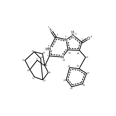 O=c1[nH]n2c(=S)[nH]c(C34CC5CC(CC(C5)C3)C4)nc2c1Cc1ccccc1